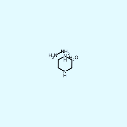 C1CNCCN1.NN.O